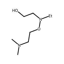 CCN(CCO)OCCN(C)C